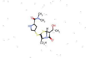 C[C@@H](O)[C@H]1C(=O)N2C(C(=O)O)=C(S[C@H]3CN[C@@H](C(=O)N(C)C)C3)S[C@H]12